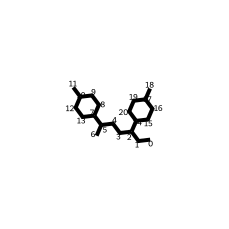 CCC(CCC(C)C1CCC(C)CC1)C1CCC(C)CC1